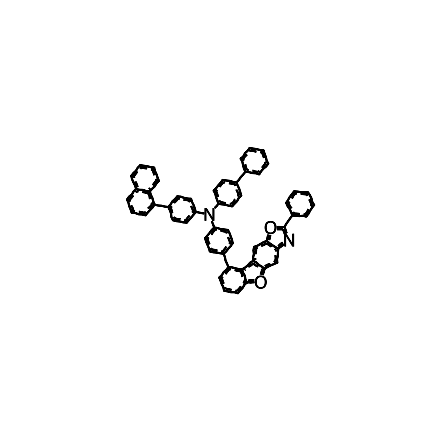 c1ccc(-c2ccc(N(c3ccc(-c4cccc5ccccc45)cc3)c3ccc(-c4cccc5oc6cc7nc(-c8ccccc8)oc7cc6c45)cc3)cc2)cc1